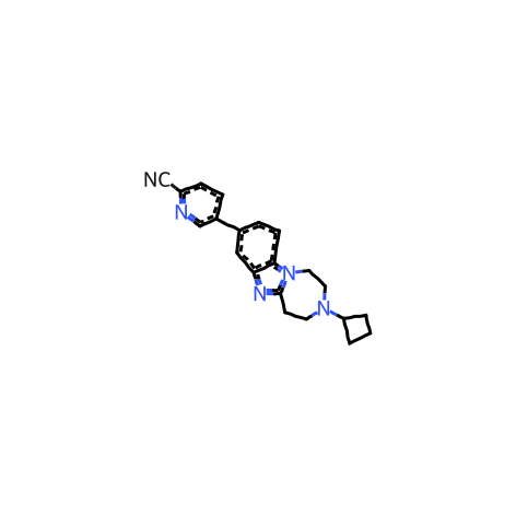 N#Cc1ccc(-c2ccc3c(c2)nc2n3CCN(C3CCC3)CC2)cn1